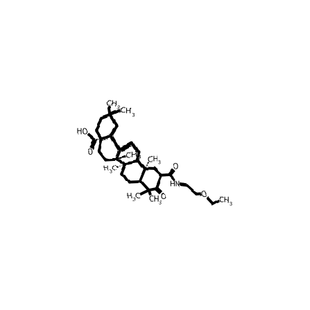 CCOCCNC(=O)C1C[C@@]2(C)C(CC[C@]3(C)C2CC=C2C4CC(C)(C)CC[C@]4(C(=O)O)CC[C@]23C)C(C)(C)C1=O